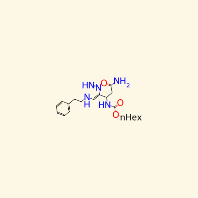 CCCCCCOC(=O)NC(CC(N)=O)/C(=C/NCCc1ccccc1)N=N